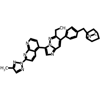 CCc1nn2c(-c3ccnc4nc(-n5ncc(C)n5)ccc34)cnc2cc1-c1ccc(CN2CC3CCC2CC3)cc1